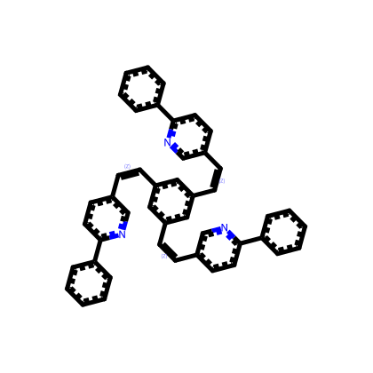 C(=C/c1cc(/C=C\c2ccc(-c3ccccc3)nc2)cc(/C=C\c2ccc(-c3ccccc3)nc2)c1)/c1ccc(-c2ccccc2)nc1